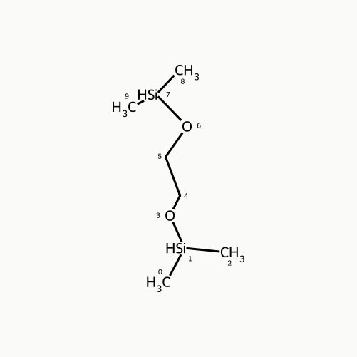 C[SiH](C)OCCO[SiH](C)C